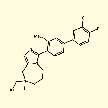 COc1cc(-c2ccc(F)c(Cl)c2)ccc1-c1nnc2n1CCSC(C)(CO)C2